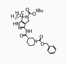 CC(C)(C)OC(=O)N1Cc2c(NC(=O)[C@@H]3CCCN(C(=O)OCc4ccccc4)C3)n[nH]c2C1(C)C